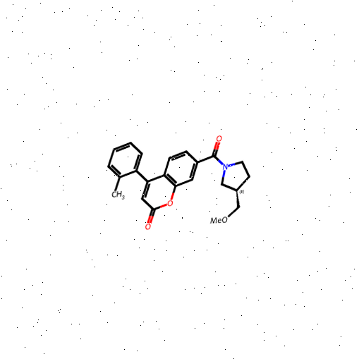 COC[C@@H]1CCN(C(=O)c2ccc3c(-c4ccccc4C)cc(=O)oc3c2)C1